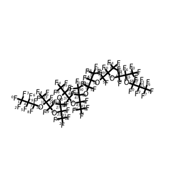 FC(F)(F)C(F)(F)C(F)(F)OC(F)(C(F)(F)F)C(F)(F)OC(F)(C(F)(F)F)C(F)(F)OC(F)(C(F)(F)F)C(F)(F)OC(F)(C(F)(F)F)C(F)(OC(F)(F)C(F)(OC(F)(F)C(F)(OC(F)(F)C(F)(OC(F)(F)C(F)(F)C(F)(F)F)C(F)(F)F)C(F)(F)F)C(F)(F)F)C(F)(F)F